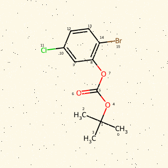 CC(C)(C)OC(=O)Oc1cc(Cl)ccc1Br